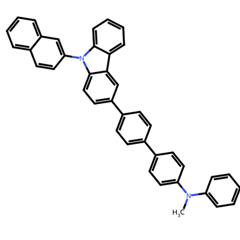 CN(c1ccccc1)c1ccc(-c2ccc(-c3ccc4c(c3)c3ccccc3n4-c3ccc4ccccc4c3)cc2)cc1